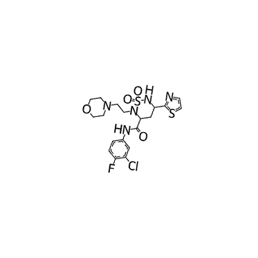 O=C(Nc1ccc(F)c(Cl)c1)C1CC(c2nccs2)NS(=O)(=O)N1CCN1CCOCC1